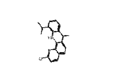 CC(C)c1cccc2c1Nc1c(ccc3ccc(Cl)nc13)C2C